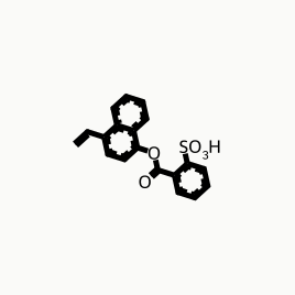 C=Cc1ccc(OC(=O)c2ccccc2S(=O)(=O)O)c2ccccc12